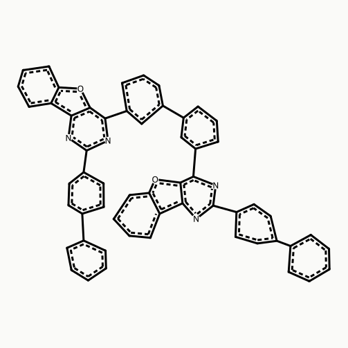 c1ccc(-c2ccc(-c3nc(-c4cccc(-c5cccc(-c6nc(-c7ccc(-c8ccccc8)cc7)nc7c6oc6ccccc67)c5)c4)c4oc5ccccc5c4n3)cc2)cc1